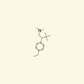 CCc1ccc(C(CN(C)C)C(C)(C)C)cc1